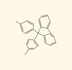 Cc1ccc(C2(c3ccc(C)cc3)c3ccccc3-c3ccccc32)cc1